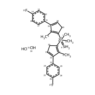 CC1=[C]([Zr]([CH3])([CH3])(=[SiH2])[C]2=C(C)C(c3ccc(F)cc3)=CC2)CC=C1c1ccc(F)cc1.Cl.Cl